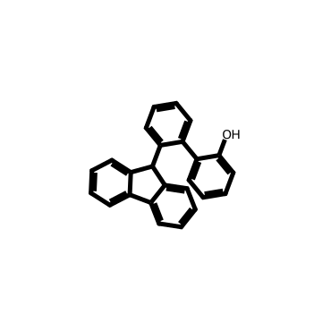 Oc1ccccc1-c1ccccc1C1c2ccccc2-c2ccccc21